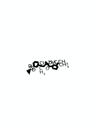 CC(C)(C)c1cccc(C(=O)C2(O)CC2CC(C)(C)c2cccc(S(=O)(=O)C3CC3)c2)c1